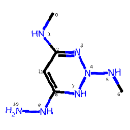 CNC1=NN(NC)NC(NN)=C1